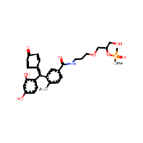 COP(C)(=O)OC(CO)COCCCNC(=O)c1ccc(OC(C)=O)c(C(=C2C=CC(=O)C=C2)c2ccc(O)cc2O)c1